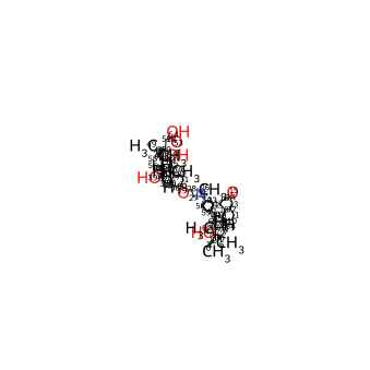 CC#C[C@]1(O)[C@H](C)C[C@H]2[C@@H]3CCC4=CC(=O)CCC4=C3[C@@H](c3ccc(N(C)CCO[C@H]4CC[C@@]5(C)[C@@H](C4)C[C@@H](O)[C@@H]4[C@@H]5C[C@H](O)[C@]5(C)[C@@H]([C@H](C)CCC(=O)O)CC[C@@H]45)cc3)C[C@@]21C